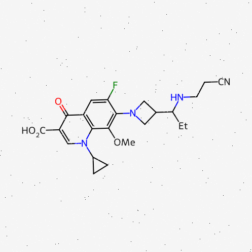 CCC(NCCC#N)C1CN(c2c(F)cc3c(=O)c(C(=O)O)cn(C4CC4)c3c2OC)C1